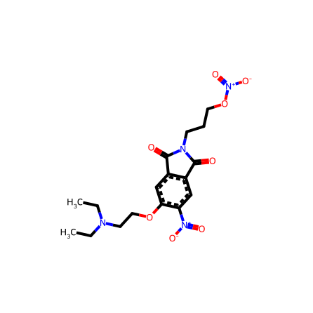 CCN(CC)CCOc1cc2c(cc1[N+](=O)[O-])C(=O)N(CCCO[N+](=O)[O-])C2=O